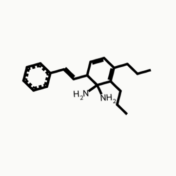 CCCC1=C(CCC)C(N)(N)C(C=Cc2ccccc2)C=C1